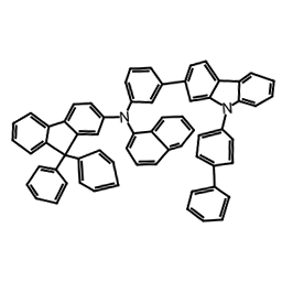 c1ccc(-c2ccc(-n3c4ccccc4c4ccc(-c5cccc(N(c6ccc7c(c6)C(c6ccccc6)(c6ccccc6)c6ccccc6-7)c6cccc7ccccc67)c5)cc43)cc2)cc1